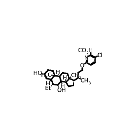 CC[C@H]1[C@@H](O)[C@@H]2[C@H](CC[C@]3(C)[C@@H]([C@H](C)CCOc4ccc(Cl)c(C(=O)O)n4)CC[C@@H]23)[C@@]2(C)CC[C@@H](O)C[C@@H]12